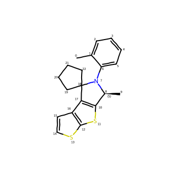 Cc1ccccc1N1[C@@H](C)c2sc3sccc3c2C12CCCC2